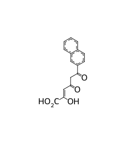 O=C(C=C(O)C(=O)O)CC(=O)c1ccc2ccccc2c1